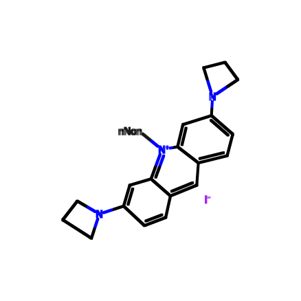 CCCCCCCCC[n+]1c2cc(N3CCC3)ccc2cc2ccc(N3CCC3)cc21.[I-]